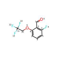 O=Cc1c(F)cccc1OCC(F)(F)F